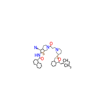 CC(C)=CC(=O)c1ccccc1CSC1CCCN(CCC(=O)N2CCc3c(sc(NC(=O)c4cccc5ccccc45)c3C#N)C2)C1